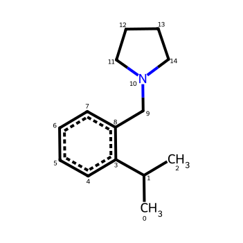 CC(C)c1ccccc1CN1CCCC1